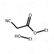 CCO.CCOC(=O)CC#N